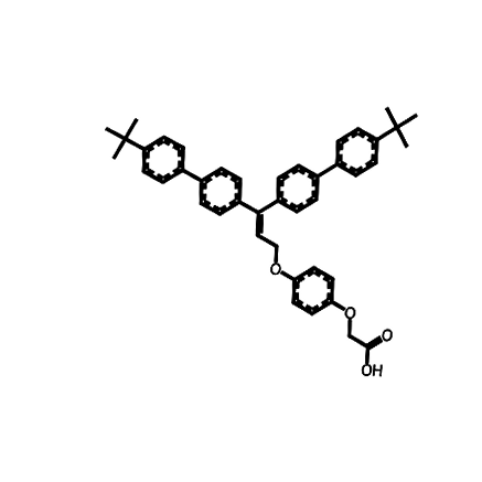 CC(C)(C)c1ccc(-c2ccc(C(=CCOc3ccc(OCC(=O)O)cc3)c3ccc(-c4ccc(C(C)(C)C)cc4)cc3)cc2)cc1